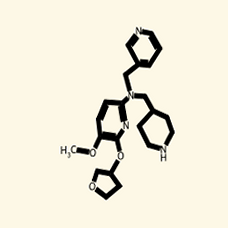 COc1ccc(N(Cc2cccnc2)CC2CCNCC2)nc1OC1CCOC1